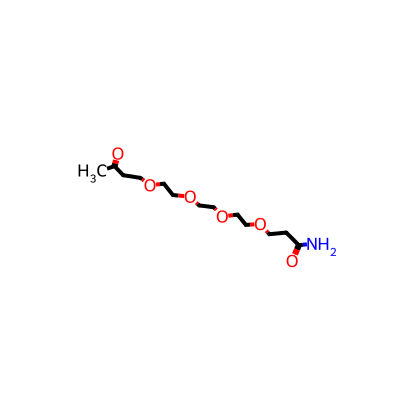 CC(=O)CCOCCOCCOCCOCCC(N)=O